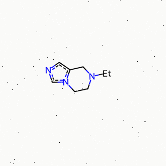 CCN1CCn2cncc2C1